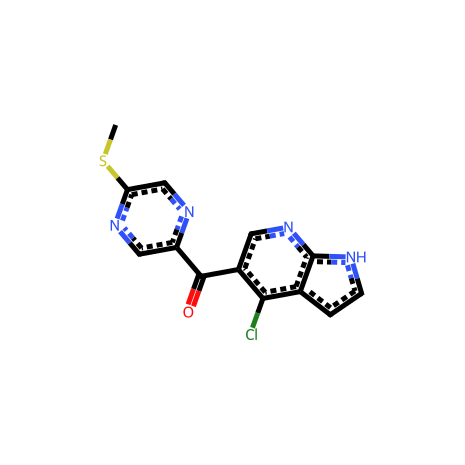 CSc1cnc(C(=O)c2cnc3[nH]ccc3c2Cl)cn1